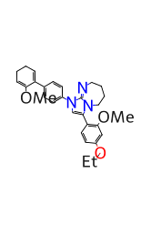 CCOc1ccc(C2=CN(c3ccc(C4=CCCC=C4OC)cc3)C3=NCCCCN23)c(OC)c1